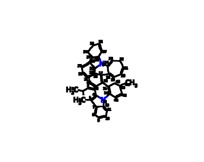 CC/C=C\c1c(C)c2ccccc2n1C1=C(C2=C(C3=CC=CCC=C3n3c4c(c5ccccc53)CCC=C4)CCC=C2)CC(C)C=C1